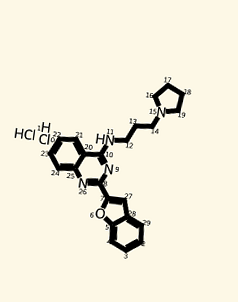 Cl.Cl.c1ccc2oc(-c3nc(NCCCN4CCCC4)c4ccccc4n3)cc2c1